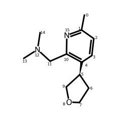 Cc1ccc([C@H]2CCOC2)c(CN(C)C)n1